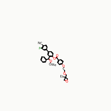 CCC1(COCCOc2ccc(C(=O)Oc3ccc(-c4ccc(C#N)c(F)c4)cc3C(OOC)c3ccccc3)cc2)COC1